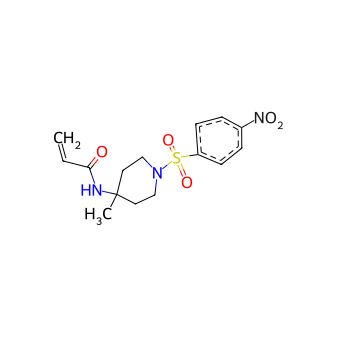 C=CC(=O)NC1(C)CCN(S(=O)(=O)c2ccc([N+](=O)[O-])cc2)CC1